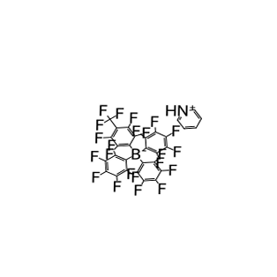 Fc1c(F)c(F)c([B-](c2c(F)c(F)c(F)c(F)c2F)(c2c(F)c(F)c(F)c(F)c2F)c2c(F)c(F)c(C(F)(F)F)c(F)c2F)c(F)c1F.c1cc[nH+]cc1